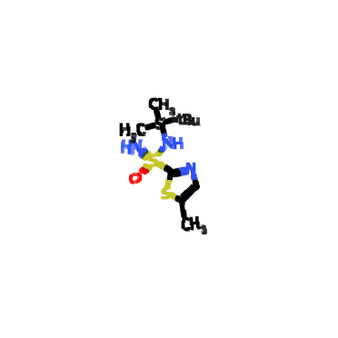 Cc1cnc(S(=N)(=O)N[Si](C)(C)C(C)(C)C)s1